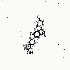 Cn1nc(N2CCC(=O)NC2=O)c2cc(F)c(N3CCC(O)(CC(=O)O)CC3)cc21